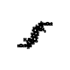 CCCCCCCCc1ccc(-c2cc3ccc4c5ccc6c(ccc7cc(-c8ccc(CCCCCCCC)s8)n(C)c76)c5ccc4c3n2C)s1